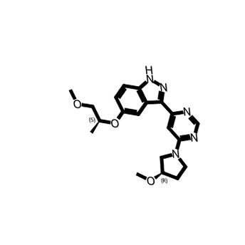 COC[C@H](C)Oc1ccc2[nH]nc(-c3cc(N4CC[C@@H](OC)C4)ncn3)c2c1